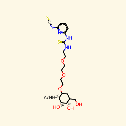 CC(=O)N[C@@H]1C(OCCOCCOCCNC(=S)Nc2cccc(N=C=S)n2)CC(CO)[C@H](O)[C@@H]1O